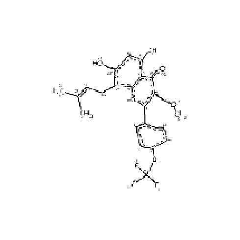 COc1c(-c2ccc(OC(F)(F)F)cc2)oc2c(CC=C(C)C)c(O)cc(O)c2c1=O